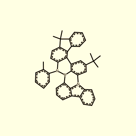 Cc1ccccc1N1B2c3c(cc(C(C)(C)C)cc3-n3c4ccccc4c4cccc2c43)-c2c1ccc1c2-c2ccccc2C1(C)C